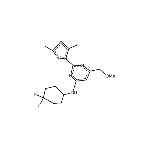 COCc1cc(NC2CCC(F)(F)CC2)nc(-n2nc(C)cc2C)n1